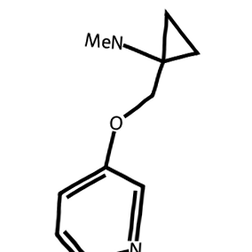 CNC1(COc2cccnc2)CC1